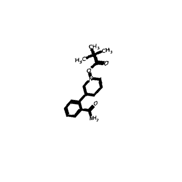 CC(C)(C)C(=O)ON1CCCC(c2ccccc2C(N)=O)C1